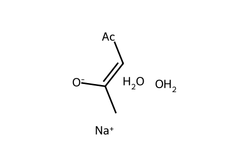 CC(=O)/C=C(/C)[O-].O.O.[Na+]